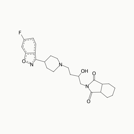 O=C1C2CCCCC2C(=O)N1CC(O)CCN1CCC(c2noc3cc(F)ccc23)CC1